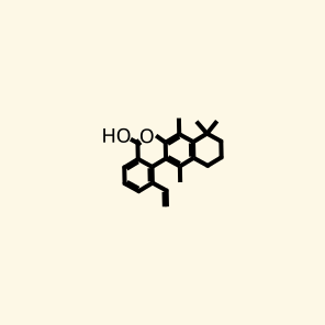 C=Cc1cccc(C(=O)O)c1-c1c(C)c(C)c2c(c1C)CCCC2(C)C